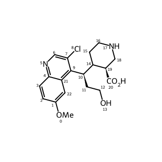 COc1ccc2ncc(Cl)c([C@H](CCO)C3CCNC[C@H]3C(=O)O)c2c1